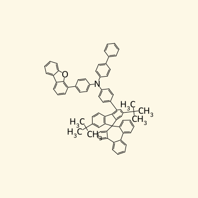 CC(C)(C)c1ccc2c(c1)C1(c3ccccc3-c3ccccc3-c3ccccc31)c1cc(C(C)(C)C)cc(-c3ccc(N(c4ccc(-c5ccccc5)cc4)c4ccc(-c5cccc6c5oc5ccccc56)cc4)cc3)c1-2